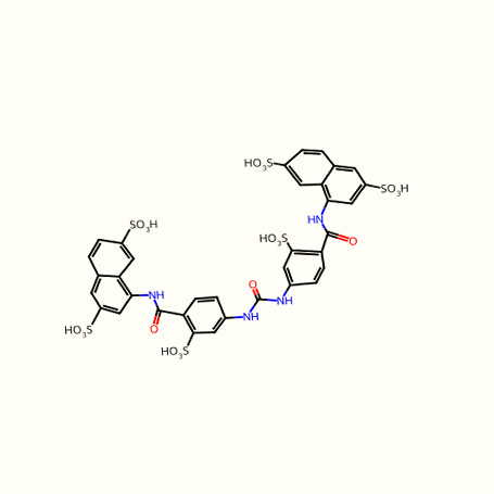 O=C(Nc1ccc(C(=O)Nc2cc(S(=O)(=O)O)cc3ccc(S(=O)(=O)O)cc23)c(S(=O)(=O)O)c1)Nc1ccc(C(=O)Nc2cc(S(=O)(=O)O)cc3ccc(S(=O)(=O)O)cc23)c(S(=O)(=O)O)c1